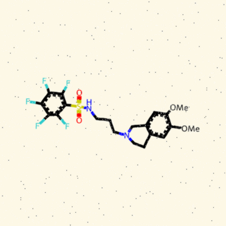 COc1cc2c(cc1OC)CN(CCCNS(=O)(=O)c1c(F)c(F)c(F)c(F)c1F)CC2